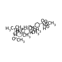 C=C(C)[C@@H]1CC[C@]2(C(C)=O)CC[C@]3(C)[C@H](CC[C@@H]4[C@@]5(C)CC=C(c6ccc(C(=O)NS(C)(=O)=O)cc6)C(C)(C)[C@@H]5CC[C@]43C)[C@@H]12